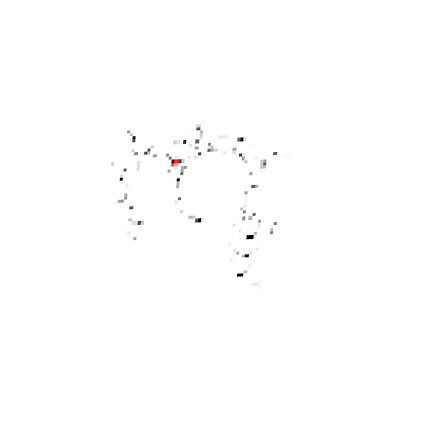 CC[C@H](C)[C@H](NC(=O)[C@H](C)NC(=O)CCC(N)=O)C(=O)N[C@@H](CC(=O)O)C(=O)N[C@@]1(C)CCC/C=C\CCC[C@@](C)(C(=O)N[C@H](C(=O)N[C@@H](CC(N)=O)C(C)=O)C(C)C)NC(=O)[C@H](CC(N)=O)NC(=O)[C@H]([C@@H](C)O)NC(=O)[C@H]([C@@H](C)CC)NC1=O